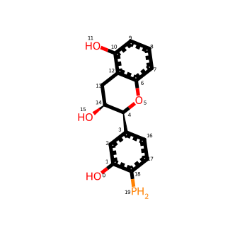 Oc1cc([C@@H]2Oc3cccc(O)c3C[C@@H]2O)ccc1P